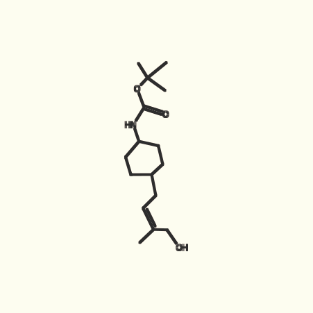 CC(=CCC1CCC(NC(=O)OC(C)(C)C)CC1)CO